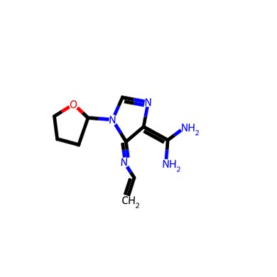 C=C/N=C1\C(=C(N)N)N=CN1C1CCCO1